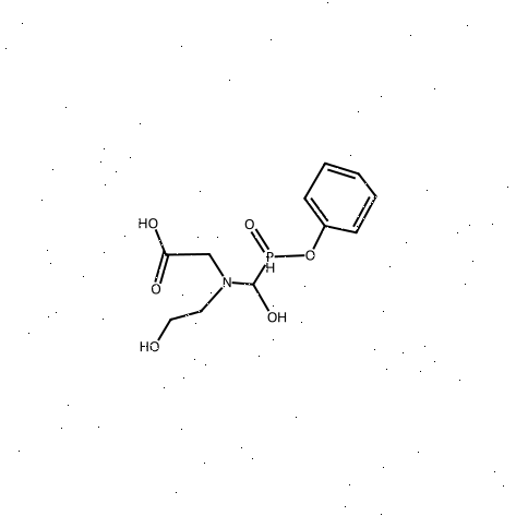 O=C(O)CN(CCO)C(O)[PH](=O)Oc1ccccc1